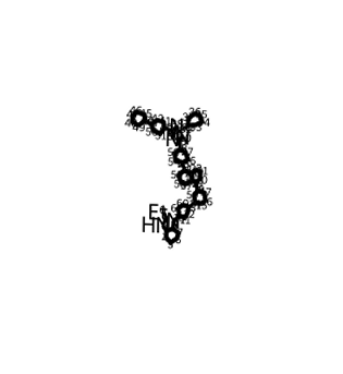 CCC1Nc2ccccc2N1c1ccc(-c2cccc(-c3cccc4c(-c5ccc(-c6nc(-c7ccccc7)nc(-c7ccc(-c8ccccc8)cc7)n6)cc5)cccc34)c2)cc1